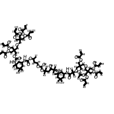 C=CC(=O)OCC(COCC(COC(=O)C=C)(COC(=O)C=C)COC(=O)NC1(C)CC(NC(=O)OC(C)CCOC(=O)OC(C)(C)CC(=O)C(C)(C)NC2(C)CC(NC(=O)C(C)(C)OCC(COCC(COC(=O)C=C)(COC(=O)C=C)COC(=O)C=C)(COC(C)=O)COC(=O)C=C)CC(C)(C)C2)CC(C)(C)C1)(COC(=O)C=C)COC(=O)C=C